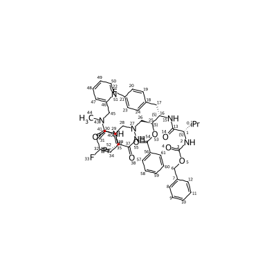 CC(C)[C@H](NC(=O)OCc1ccccc1)C(=O)N[C@@H](Cc1ccc(F)cc1)[C@H](CN(Cc1ccc(F)cc1)NC(=O)[C@@H](NC(=O)N(C)Cc1ccccn1)C(C)C)OC(=O)c1ccccc1